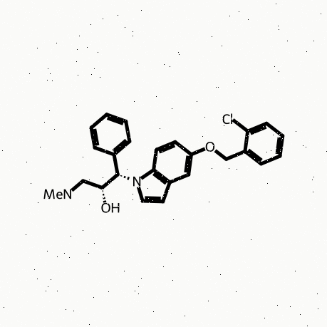 CNC[C@@H](O)[C@H](c1ccccc1)n1ccc2cc(OCc3ccccc3Cl)ccc21